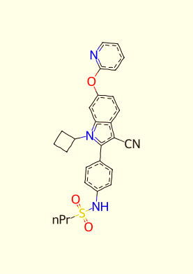 CCCS(=O)(=O)Nc1ccc(-c2c(C#N)c3ccc(Oc4ccccn4)cc3n2C2CCC2)cc1